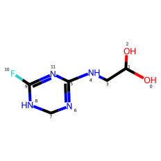 OC(O)CNC1=N[CH]NC(F)=N1